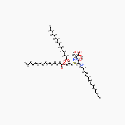 CCCCCCCCCCCCCCCCNC(CSCC(COC(=O)CCCCCCCCCCCCCCC)OC(=O)CCCCCCCCCCCCCCC)C(=O)N[C@@H](CO)C(=O)O